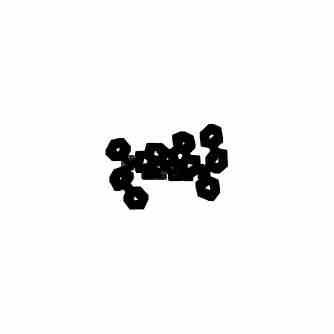 CC(C)(C)C1(C(C)(C)C)c2c(ccc3cc(N(c4ccccc4)c4cccc(-c5ccccc5)c4)ccc23)-c2c1c1ccc(N(c3ccccc3)c3cccc(-c4ccccc4)c3)cc1c1ccccc21